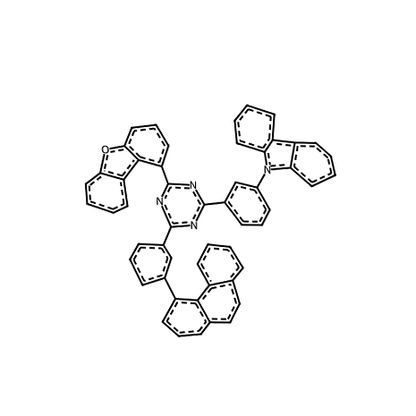 c1cc(-c2nc(-c3cccc(-n4c5ccccc5c5ccccc54)c3)nc(-c3cccc4oc5ccccc5c34)n2)cc(-c2cccc3ccc4ccccc4c23)c1